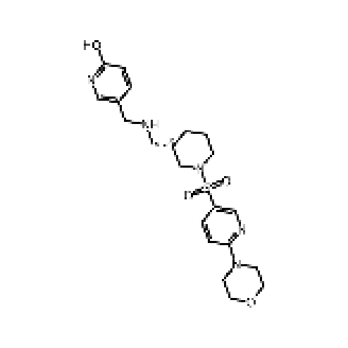 O=S(=O)(c1ccc(N2CCOCC2)nc1)N1CCC[C@@H](CNCc2ccc(O)nc2)C1